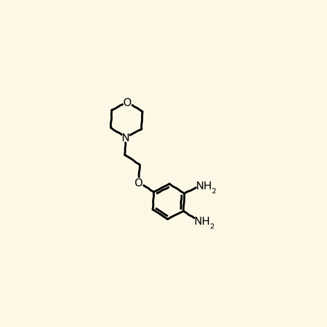 Nc1ccc(OCCN2CCOCC2)cc1N